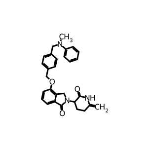 C=C1CCC(N2Cc3c(OCc4ccc(CN(C)c5ccccc5)cc4)cccc3C2=O)C(=O)N1